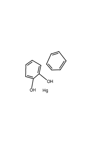 Oc1ccccc1O.[Hg].c1ccccc1